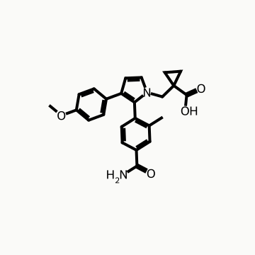 COc1ccc(-c2ccn(CC3(C(=O)O)CC3)c2-c2ccc(C(N)=O)cc2C)cc1